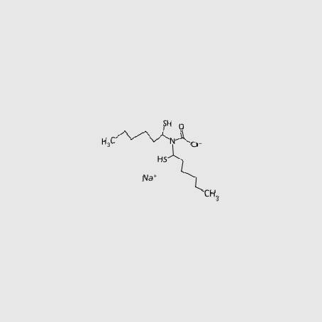 CCCCCC(S)N(C(=O)[O-])C(S)CCCCC.[Na+]